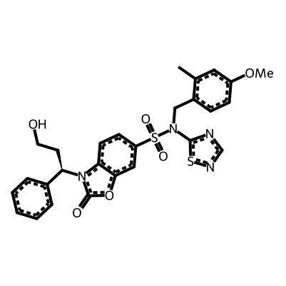 COc1ccc(CN(c2ncns2)S(=O)(=O)c2ccc3c(c2)oc(=O)n3[C@H](CCO)c2ccccc2)c(C)c1